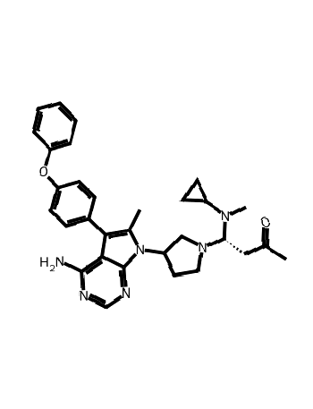 CC(=O)C[C@H](N1CCC(n2c(C)c(-c3ccc(Oc4ccccc4)cc3)c3c(N)ncnc32)C1)N(C)C1CC1